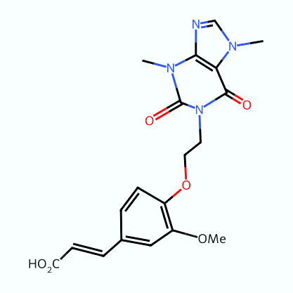 COc1cc(C=CC(=O)O)ccc1OCCn1c(=O)c2c(ncn2C)n(C)c1=O